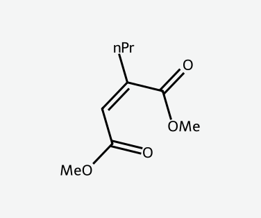 CCCC(=CC(=O)OC)C(=O)OC